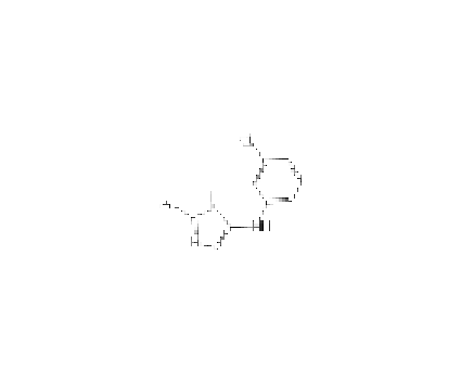 CC(C)c1ncc(Nc2cccc(Cl)c2)[nH]1